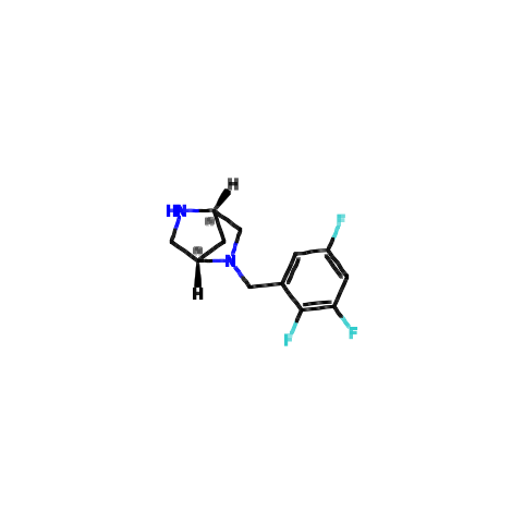 Fc1cc(F)c(F)c(CN2C[C@@H]3C[C@H]2CN3)c1